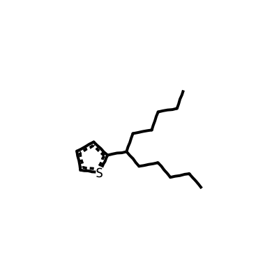 CCCCCC(CCCCC)c1cccs1